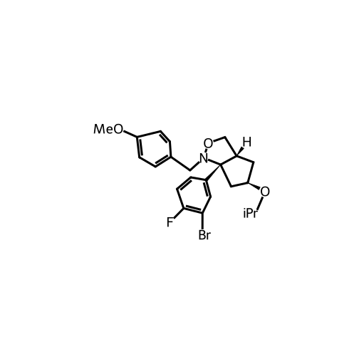 COc1ccc(CN2OC[C@@H]3C[C@@H](OC(C)C)C[C@@]32c2ccc(F)c(Br)c2)cc1